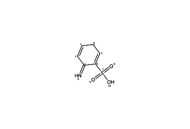 N=C1C=C[C]C=C1S(=O)(=O)O